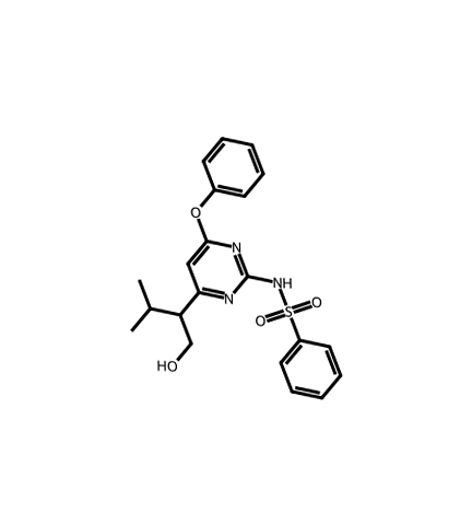 CC(C)C(CO)c1cc(Oc2ccccc2)nc(NS(=O)(=O)c2ccccc2)n1